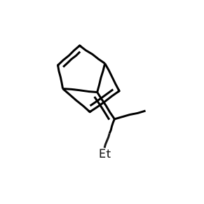 CCC(C)=C1C2C=CC1C=C2